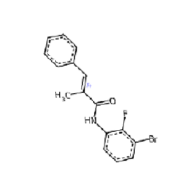 C/C(=C\c1ccccc1)C(=O)Nc1cccc(Br)c1F